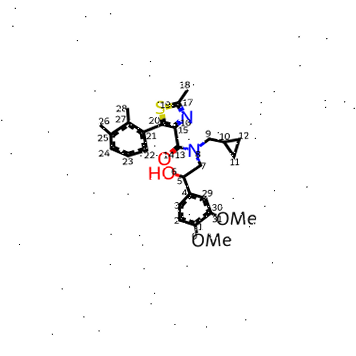 COc1ccc(C(O)CN(CC2CC2)C(=O)c2nc(C)sc2-c2cccc(C)c2C)cc1OC